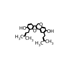 CC(C)=CCc1cc2c(cc1O)OCc1c-2oc2c(CC=C(C)C)c(O)ccc12